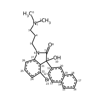 CN(C)CCCN1C(=O)C(O)(c2ccc3ccccc3c2)c2c(Br)cccc21